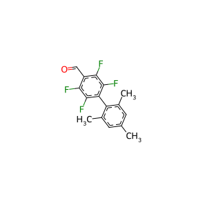 Cc1cc(C)c(-c2c(F)c(F)c(C=O)c(F)c2F)c(C)c1